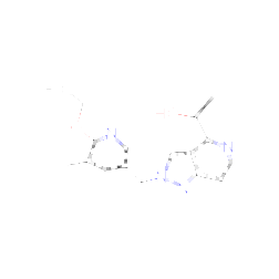 C=C(O)c1nccc2nn(Cc3cnc(OCC(F)(F)F)c(C)c3)cc12